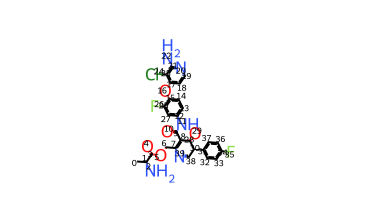 CC(N)C(=O)OCC1=C(C(=O)Nc2ccc(Oc3ccnc(N)c3Cl)c(F)c2)C(=O)[C@@H](c2ccc(F)cc2)C=N1